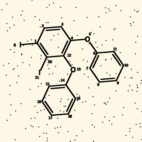 Ic1ccc(Oc2ccccc2)c(Oc2ccccc2)c1I